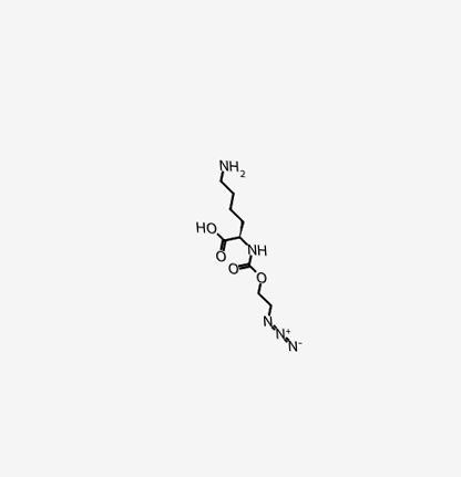 [N-]=[N+]=NCCOC(=O)N[C@H](CCCCN)C(=O)O